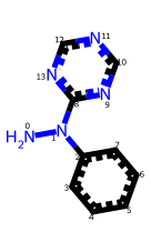 NN(c1ccccc1)c1ncncn1